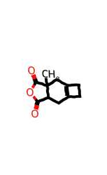 CC12CC3=C(CC3)CC1C(=O)OC2=O